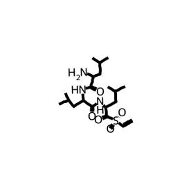 C=CS(=O)(=O)C(=O)C(CC(C)C)NC(=O)C(CC(C)C)NC(=O)C(N)CC(C)C